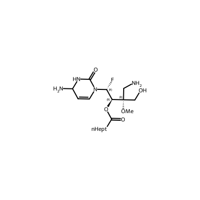 CCCCCCCC(=O)O[C@@H]([C@@H](F)N1C=CC(N)NC1=O)[C@@](CN)(CO)OC